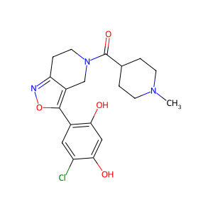 CN1CCC(C(=O)N2CCc3noc(-c4cc(Cl)c(O)cc4O)c3C2)CC1